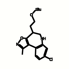 Cc1noc2c1-c1ccc(Cl)cc1NCC2CCOC(C)(C)C